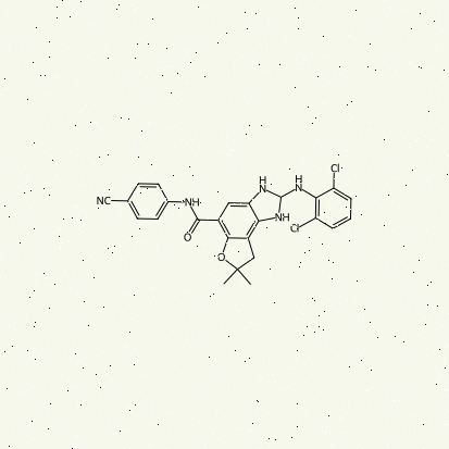 CC1(C)Cc2c3c(cc(C(=O)Nc4ccc(C#N)cc4)c2O1)NC(Nc1c(Cl)cccc1Cl)N3